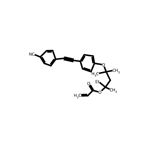 C=CC(=O)OC(C)(CC)CC(C)(C)Oc1ccc(C#Cc2ccc(C#N)cc2)cc1